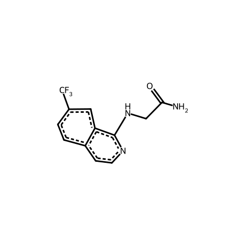 NC(=O)CNc1nccc2ccc(C(F)(F)F)cc12